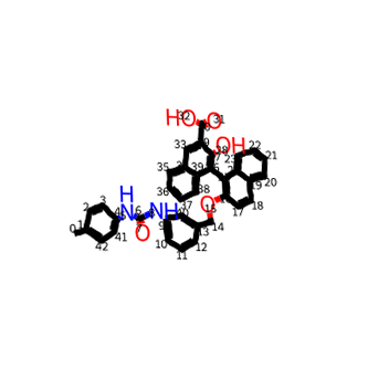 Cc1ccc(NC(=O)Nc2cccc(COc3ccc4ccccc4c3-c3c(O)c(C(=O)O)cc4ccccc34)c2)cc1